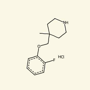 CC1(COc2ccccc2F)CCNCC1.Cl